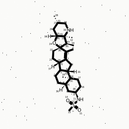 CC1=C2C[C@H]3C(CC[C@@H]4C[C@H](NS(C)(=O)=O)CC[C@@]43C)[C@@H]2CC[C@]12O[C@@H]1C[C@H](C)CN[C@@]1(C)[C@H]2C